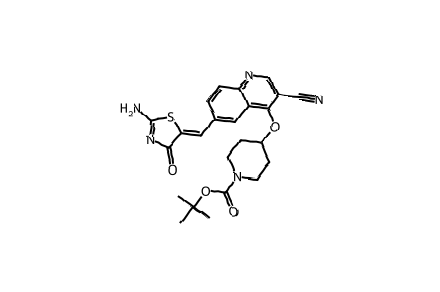 CC(C)(C)OC(=O)N1CCC(Oc2c(C#N)cnc3ccc(/C=C4\SC(N)=NC4=O)cc23)CC1